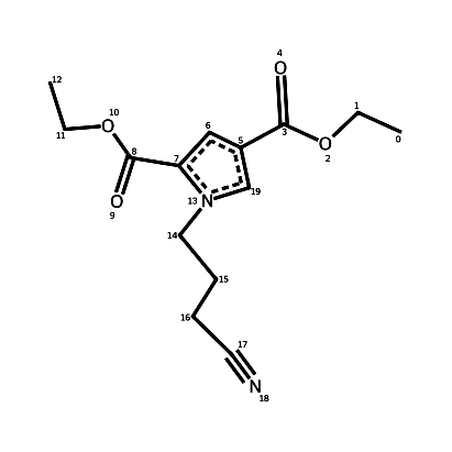 CCOC(=O)c1cc(C(=O)OCC)n(CCCC#N)c1